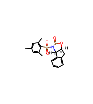 Cc1cc(C)c(S(=O)(=O)N2[C@H]3c4ccccc4C[C@@H]3OS2=O)c(C)c1